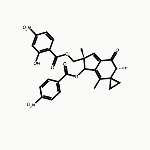 CC1=C2C(=C[C@@](C)(COC(=O)c3ccc([N+](=O)[O-])cc3O)C2OC(=O)c2ccc([N+](=O)[O-])cc2)C(=O)[C@H](C)C12CC2